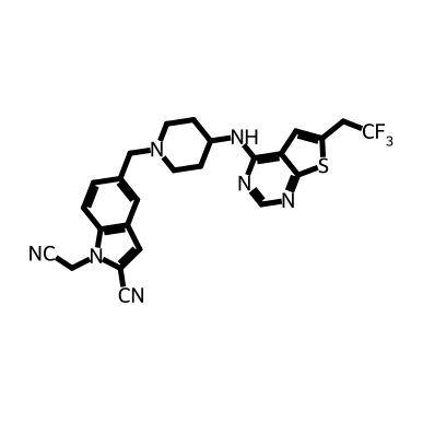 N#CCn1c(C#N)cc2cc(CN3CCC(Nc4ncnc5sc(CC(F)(F)F)cc45)CC3)ccc21